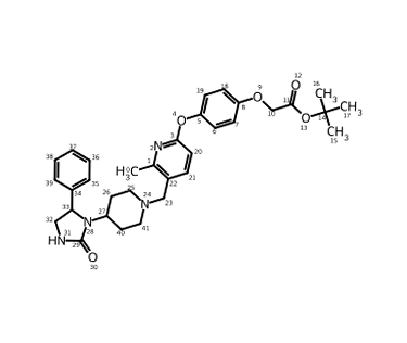 Cc1nc(Oc2ccc(OCC(=O)OC(C)(C)C)cc2)ccc1CN1CCC(N2C(=O)NCC2c2ccccc2)CC1